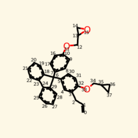 C=CCc1cc(C2(c3ccc(OCC4CO4)cc3)c3ccccc3-c3ccccc32)ccc1OCC1CC1